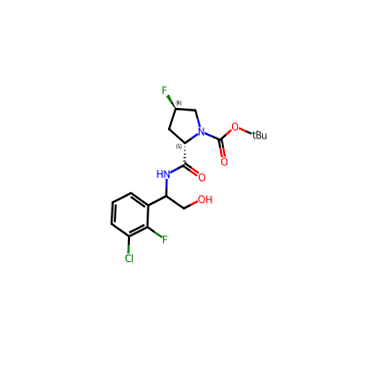 CC(C)(C)OC(=O)N1C[C@H](F)C[C@H]1C(=O)NC(CO)c1cccc(Cl)c1F